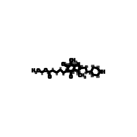 CCOC(=O)CCCCn1c(=O)c2c(nc(CCC3CCNCC3)n2C)n(C)c1=O